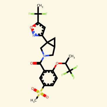 CC(Oc1ccc(S(C)(=O)=O)cc1C(=O)N1CC2CC2(c2cc(C(C)(F)F)on2)C1)C(F)(F)F